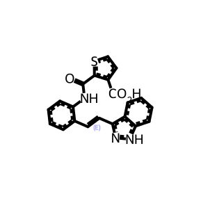 O=C(O)c1ccsc1C(=O)Nc1ccccc1/C=C/c1n[nH]c2ccccc12